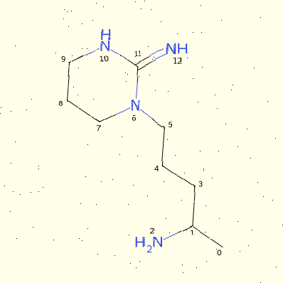 CC(N)CCCN1CCCNC1=N